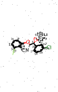 CC(C)(C)[Si](C)(C)OC(COc1cccc(F)c1C#N)c1cccc(Cl)c1